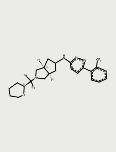 [2H]C([2H])([C@@H]1CCCCO1)N1C[C@H]2CC(Nc3ccc(-c4cccnc4C(F)(F)F)nn3)C[C@H]2C1